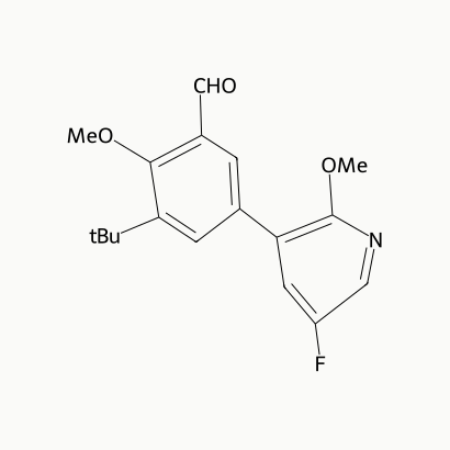 COc1ncc(F)cc1-c1cc(C=O)c(OC)c(C(C)(C)C)c1